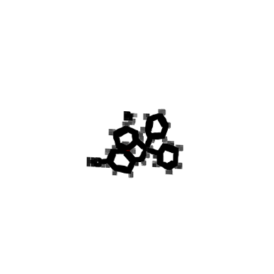 Oc1ccc(C[P+](c2ccccc2)(c2ccccc2)c2ccccc2)cc1.[Br-]